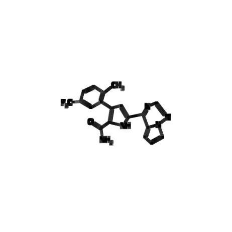 Cc1ccc(C(F)(F)F)cc1-c1cc(-c2ncnn3cccc23)[nH]c1C(N)=O